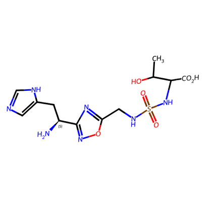 CC(O)C(NS(=O)(=O)NCc1nc([C@@H](N)Cc2cnc[nH]2)no1)C(=O)O